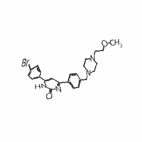 COCCN1CCN(Cc2ccc(-c3cc(-c4ccc(Br)cc4)[nH]c(=O)n3)cc2)CC1